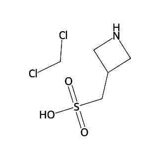 ClCCl.O=S(=O)(O)CC1CNC1